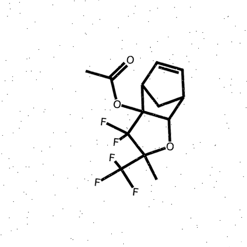 CC(=O)OC12C3C=CC(C3)C1OC(C)(C(F)(F)F)C2(F)F